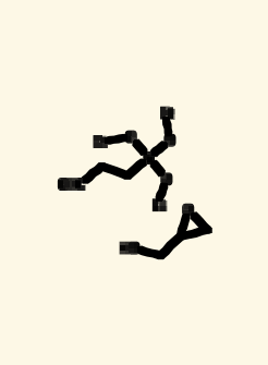 CCO[Si](CCC=O)(OCC)OCC.OCC1CO1